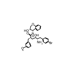 COc1cccc(C[C@H](C[C@H](O)[C@@H](N)Cc2ccc(Br)cc2)C(=O)N[C@H]2c3ccccc3OC[C@H]2O)c1